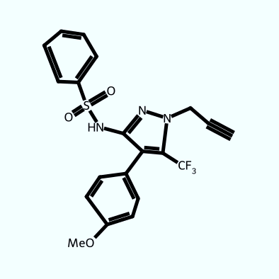 C#CCn1nc(NS(=O)(=O)c2ccccc2)c(-c2ccc(OC)cc2)c1C(F)(F)F